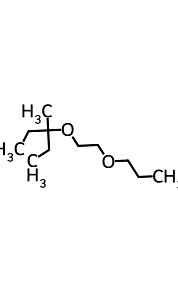 CCCOCCOC(C)(CC)CC